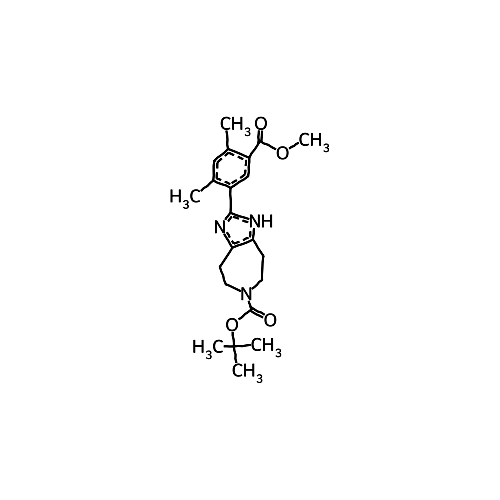 COC(=O)c1cc(-c2nc3c([nH]2)CCN(C(=O)OC(C)(C)C)CC3)c(C)cc1C